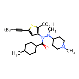 CC1CCC(C(=O)N(c2cc(C#CC(C)(C)C)sc2C(=O)O)N(C)C2CCN(C)CC2)CC1